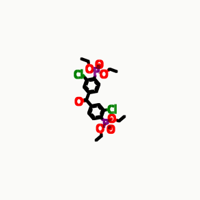 CCOP(=O)(OCC)c1ccc(C(=O)c2ccc(P(=O)(OCC)OCC)c(Cl)c2)cc1Cl